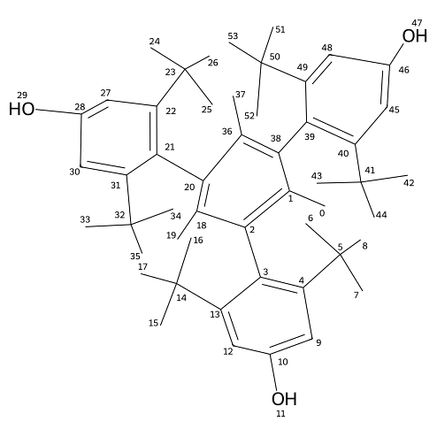 Cc1c(-c2c(C(C)(C)C)cc(O)cc2C(C)(C)C)c(C)c(-c2c(C(C)(C)C)cc(O)cc2C(C)(C)C)c(C)c1-c1c(C(C)(C)C)cc(O)cc1C(C)(C)C